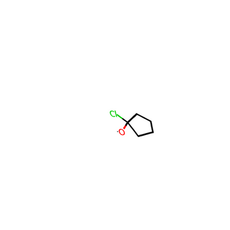 [O]C1(Cl)CCCC1